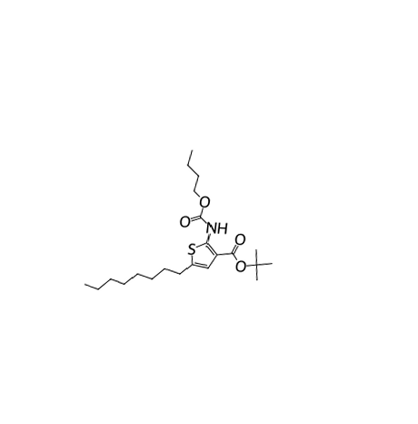 CCCCCCCCc1cc(C(=O)OC(C)(C)C)c(NC(=O)OCCCC)s1